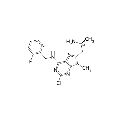 Cc1c(C[C@H](C)N)sc2c(NCc3ncccc3F)nc(Cl)nc12